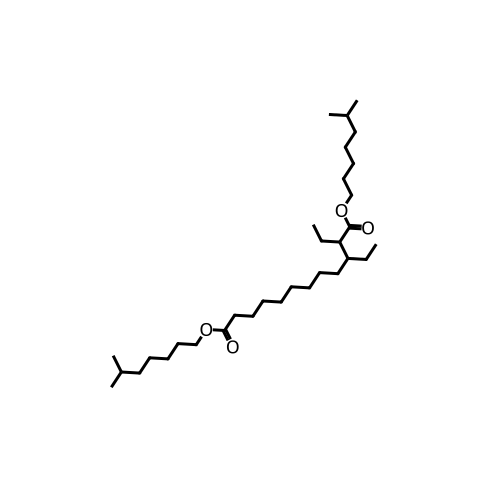 CCC(CCCCCCCCC(=O)OCCCCCC(C)C)C(CC)C(=O)OCCCCCC(C)C